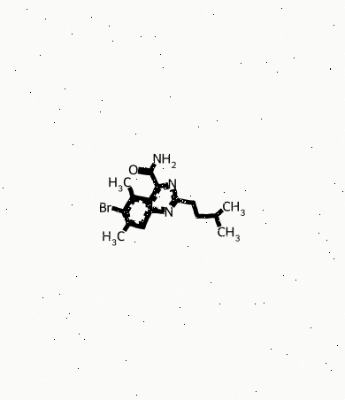 Cc1cc2nc(CCC(C)C)nc(C(N)=O)c2c(C)c1Br